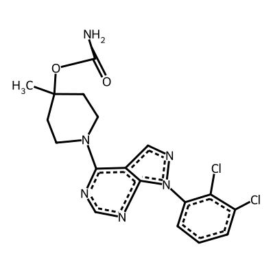 CC1(OC(N)=O)CCN(c2ncnc3c2cnn3-c2cccc(Cl)c2Cl)CC1